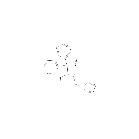 CCC1C(Cn2cccn2)OC(=O)C1(c1ccccc1)c1ccccc1